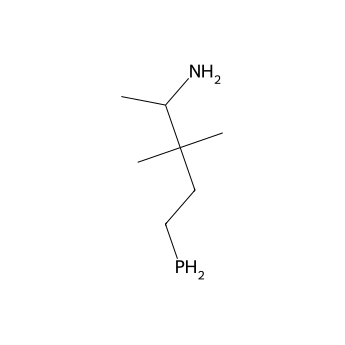 CC(N)C(C)(C)CCP